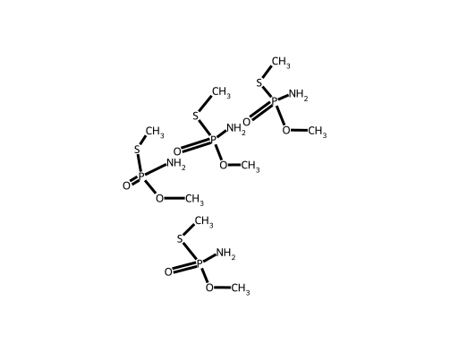 COP(N)(=O)SC.COP(N)(=O)SC.COP(N)(=O)SC.COP(N)(=O)SC